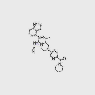 CC(C)C1CN(c2cnc(C(=O)N3CCCCC3)cn2)CCN1/C(=N\C#N)Nc1cccc2ncccc12